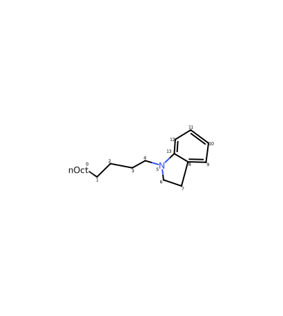 CCCCCCCCCCCCN1CCc2ccccc21